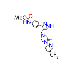 COC(=O)Nc1ccc(-c2n[nH]cc2CN2CCN(c3ccc(C(F)(F)F)cn3)[C@H](C)C2)cc1